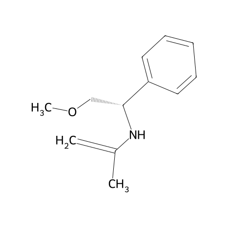 C=C(C)N[C@H](COC)c1ccccc1